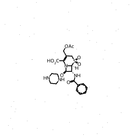 C1CNCCN1.CC(=O)OCC1=C(C(=O)O)N2C(=O)[C@@H](NC(=O)c3ccccc3)[C@@H]2S(=O)(=O)C1